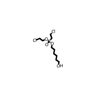 O=P(CCCl)(OCCCl)OCCCCCCO